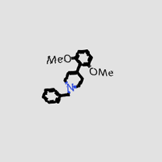 COc1cccc(OC)c1C1=CCN(Cc2ccccc2)CC1